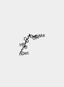 C=C(CCC(=O)OCCNC(=O)CCCCCCCCCCCCCCC)OCC(O)COC